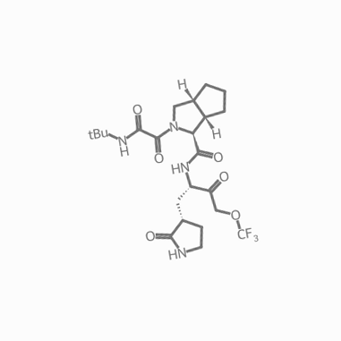 CC(C)(C)NC(=O)C(=O)N1C[C@@H]2CCC[C@@H]2[C@H]1C(=O)N[C@@H](C[C@@H]1CCNC1=O)C(=O)COC(F)(F)F